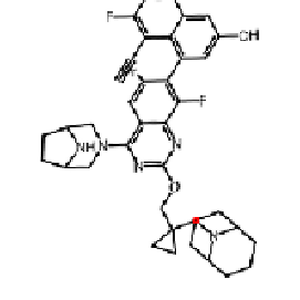 C#Cc1c(F)ccc2cc(O)cc(-c3c(C(C)C)cc4c(N5CC6CCC(C5)N6)nc(OCC5(CN6C7CCCC6CCC7)CC5)nc4c3F)c12